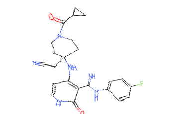 N#CCC1(Nc2cc[nH]c(=O)c2C(=N)Nc2ccc(F)cc2)CCN(C(=O)C2CC2)CC1